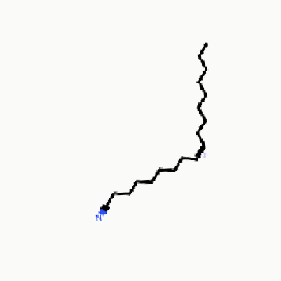 CCCCCCCC/C=C\CCCCCCCC#N